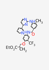 C=C(COc1ccc(NC(=O)c2ccc(C)c(Nc3nccc(-c4cccnc4)n3)c2)cc1C(F)(F)F)C(=O)OCC